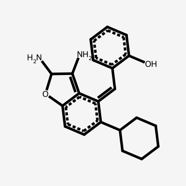 NC1=c2c(ccc(C3CCCCC3)c2=Cc2ccccc2O)OC1N